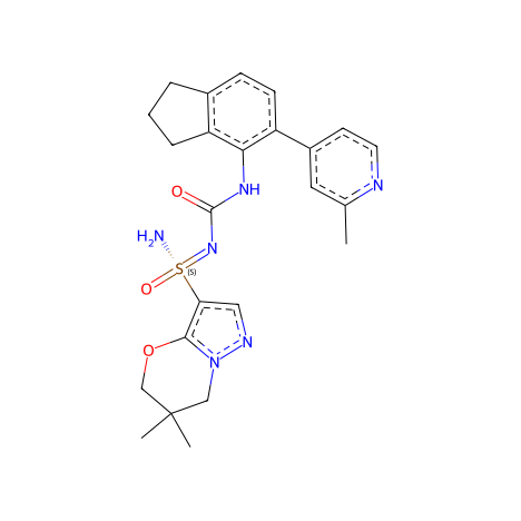 Cc1cc(-c2ccc3c(c2NC(=O)N=[S@](N)(=O)c2cnn4c2OCC(C)(C)C4)CCC3)ccn1